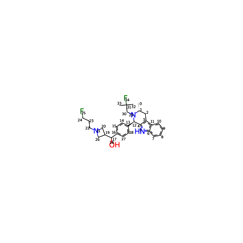 C[C@@H]1Cc2c([nH]c3ccccc23)[C@@H](c2ccc([C@@H](O)C3CN(CCCF)C3)cc2)N1CC(C)(C)F